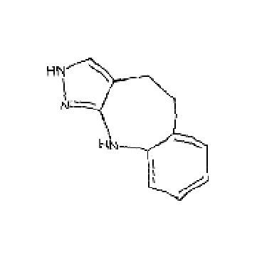 c1ccc2c(c1)CCc1c[nH]nc1N2